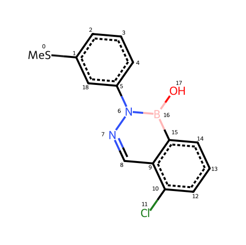 CSc1cccc(N2N=Cc3c(Cl)cccc3B2O)c1